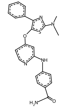 CN(C)c1nc(-c2ccccc2)c(Oc2ccnc(Nc3ccc(C(N)=O)cc3)c2)s1